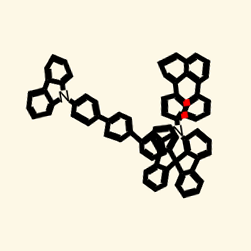 c1ccc(-c2cccc3cccc(-c4ccc(N(c5cccc(-c6ccc(-c7ccc(-n8c9ccccc9c9ccccc98)cc7)cc6)c5)c5cccc6c5C5(c7ccccc7-c7ccccc75)c5ccccc5-6)cc4)c23)cc1